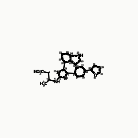 CC(CC(=O)O)Nc1nc(-c2ccc(-c3cnco3)cc2)c(-c2cccc3[nH]ccc23)s1